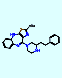 CCCCc1nc2c(s1)Nc1ccccc1N=C2N1CCNC(CCc2ccccc2)C1